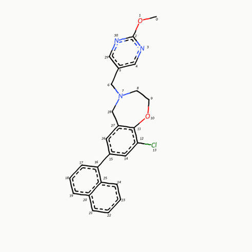 COc1ncc(CN2CCOc3c(Cl)cc(-c4cccc5ccccc45)cc3C2)cn1